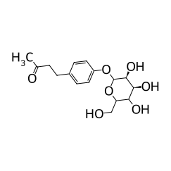 CC(=O)CCc1ccc(OC2OC(CO)C(O)[C@H](O)[C@@H]2O)cc1